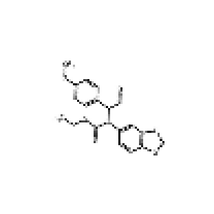 CCOC(=O)C(c1ccc2c(c1)OCO2)C(C=O)c1ccc(OC)cc1